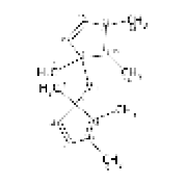 CC1=C(C)[C](C)([V][C]2(C)C=CC(C)=C2C)C=C1